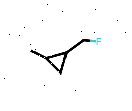 CC1CC1CF